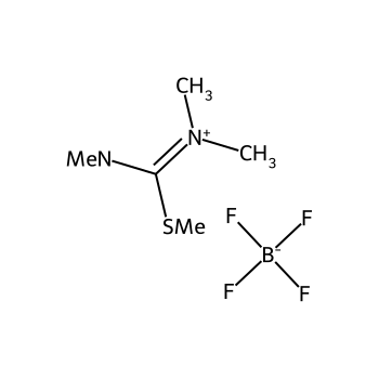 CNC(SC)=[N+](C)C.F[B-](F)(F)F